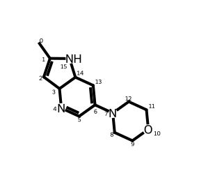 CC1=CC2N=CC(N3CCOCC3)=CC2N1